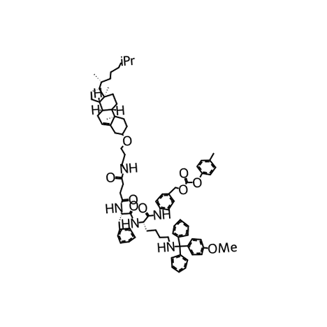 COc1ccc(C(NCCCC[C@H](NC(=O)[C@H](Cc2ccccc2)NC(=O)CCC(=O)NCCCO[C@H]2CC[C@@]3(C)C(=CC[C@H]4[C@@H]5CC[C@H]([C@H](C)CCCC(C)C)[C@@]5(C)CC[C@@H]43)C2)C(=O)Nc2ccc(COC(=O)Oc3ccc(C)cc3)cc2)(c2ccccc2)c2ccccc2)cc1